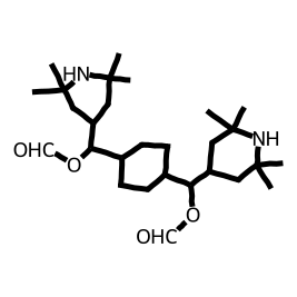 CC1(C)CC(C(OC=O)C2CCC(C(OC=O)C3CC(C)(C)NC(C)(C)C3)CC2)CC(C)(C)N1